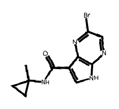 CC1(NC(=O)c2c[nH]c3ncc(Br)nc23)CC1